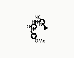 COc1ccc(CN2CCC(Nc3nc(C4CC4)ccc3C#N)CC2=O)cc1